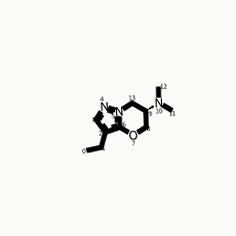 CCc1cnn2c1OC[C@@H](N(C)C)C2